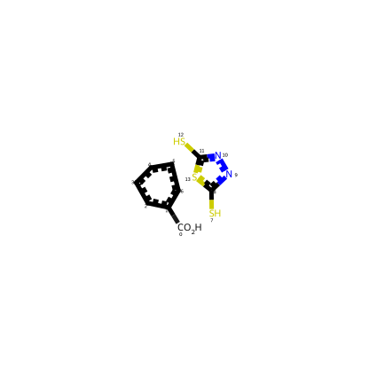 O=C(O)c1ccccc1.Sc1nnc(S)s1